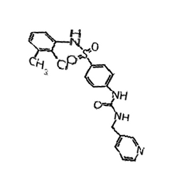 Cc1cccc(NS(=O)(=O)c2ccc(NC(=O)NCc3cccnc3)cc2)c1Cl